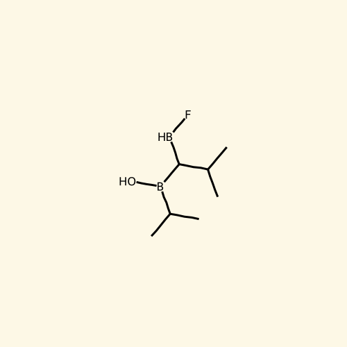 CC(C)B(O)C(BF)C(C)C